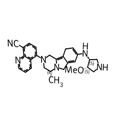 CO[C@H]1CNC[C@@H]1NC1=CCC2=C3CN(c4ccc(C#N)c5ncccc45)C[C@@H](C)N3CC2=C1